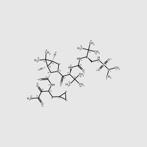 CN(C)S(=O)(=O)NC[C@@H](NC(=O)N[C@H](C(=O)N1C[C@H]2[C@@H]([C@H]1C(=O)NC(CC1CC1)C(=O)C(N)=O)C2(C)C)C(C)(C)C)C(C)(C)C